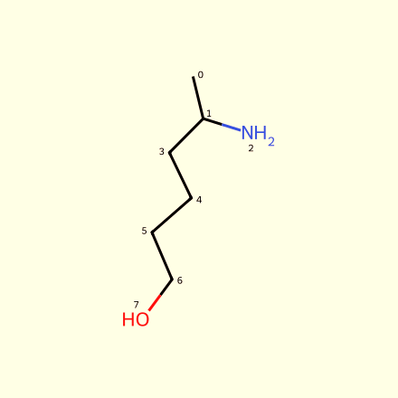 CC(N)CCCCO